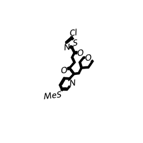 CSc1ccc(C(CC2CCOCC2)C(=O)CCC(=O)c2ncc(Cl)s2)nc1